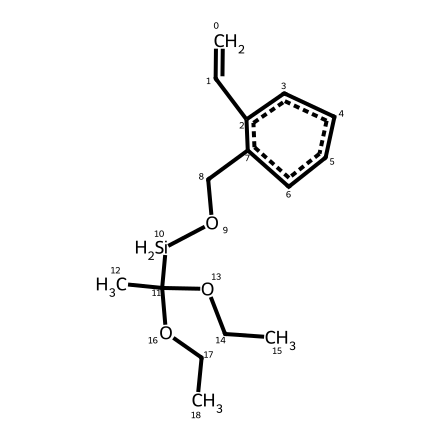 C=Cc1ccccc1CO[SiH2]C(C)(OCC)OCC